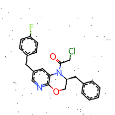 O=C(CCl)N1c2cc(Cc3ccc(F)cc3)cnc2OC[C@@H]1Cc1ccccc1